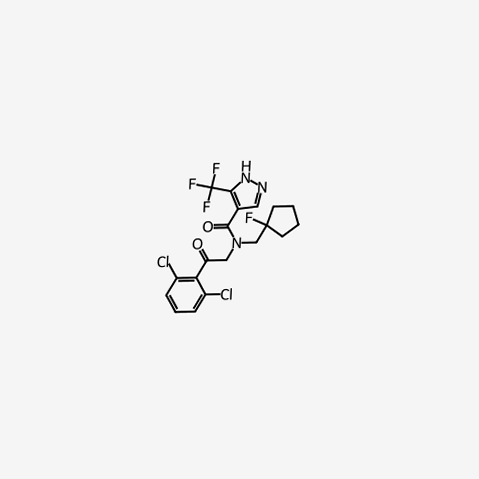 O=C(CN(CC1(F)CCCC1)C(=O)c1cn[nH]c1C(F)(F)F)c1c(Cl)cccc1Cl